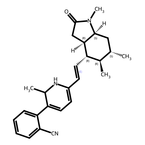 CC1NC(/C=C/[C@H]2[C@H](C)[C@@H](C)C[C@H]3[C@@H]2CC(=O)N3C)=CC=C1c1ccccc1C#N